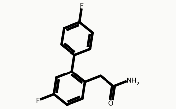 NC(=O)Cc1ccc(F)cc1-c1ccc(F)cc1